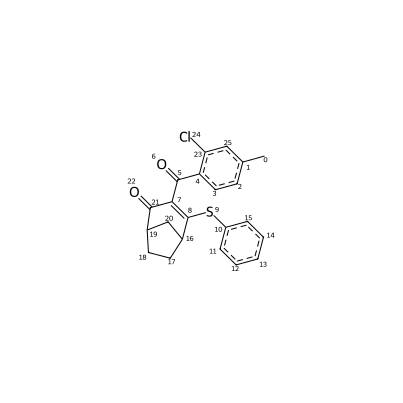 Cc1ccc(C(=O)C2=C(Sc3ccccc3)C3CCC(C3)C2=O)c(Cl)c1